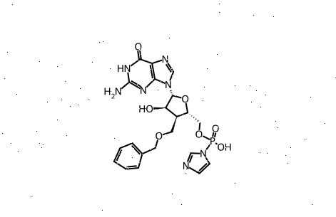 Nc1nc2c(ncn2[C@@H]2O[C@H](COP(=O)(O)n3ccnc3)[C@@H](COCc3ccccc3)[C@H]2O)c(=O)[nH]1